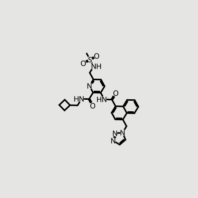 CS(=O)(=O)NCc1ccc(NC(=O)c2ccc(Cn3ccnn3)c3ccccc23)c(C(=O)NCC2CCC2)n1